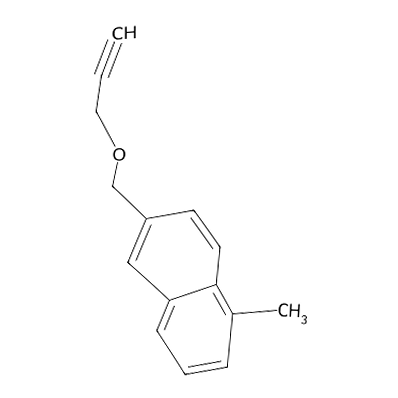 C#CCOCc1ccc2c(C)cccc2c1